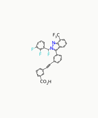 O=C(O)c1cccc(C#Cc2cccc(-c3c4cccc(C(F)(F)F)c4nn3C(F)c3cccc(F)c3F)c2)c1